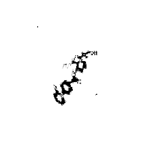 CC(C)(CO)C(=O)N1CC[CH]C(NC(=O)c2ccc(-n3ccccc3=O)cc2)C1C(N)=O